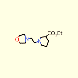 CCOC(=O)C1CCCN(CCN2CCOCC2)C1